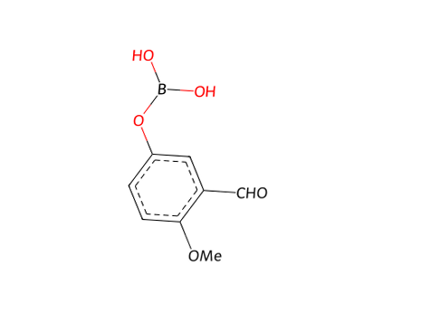 COc1ccc(OB(O)O)cc1C=O